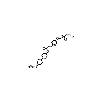 C=CC(=O)OCOc1ccc(CCC(=O)OC2CCC(C3CCC(CCCCC)CC3)CC2)cc1